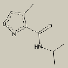 Cc1conc1C(=O)NC(C)C